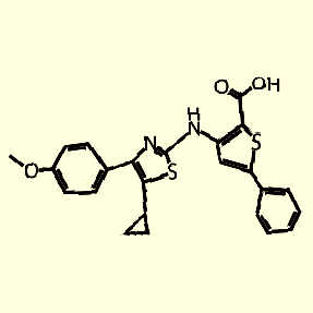 COc1ccc(-c2nc(Nc3cc(-c4ccccc4)sc3C(=O)O)sc2C2CC2)cc1